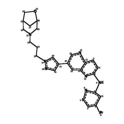 CC(C)c1cnnc(Nc2ccc3ncc(-c4cnn(CCCN5CC6COC(C6)C5)c4)cc3n2)c1